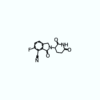 N#Cc1c(F)ccc2c1C(=O)N(C1CCC(=O)NC1=O)C2